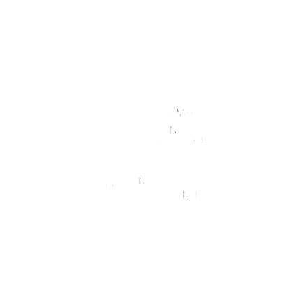 CON(C)C(=O)C1CNCCN1C(=O)OCc1ccccc1